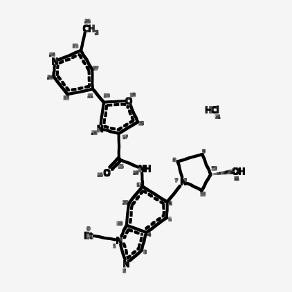 CCn1ncc2cc(N3CC[C@H](O)C3)c(NC(=O)c3coc(-c4ccnc(C)c4)n3)cc21.Cl